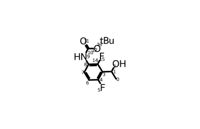 CC(O)c1c(F)ccc(NC(=O)OC(C)(C)C)c1F